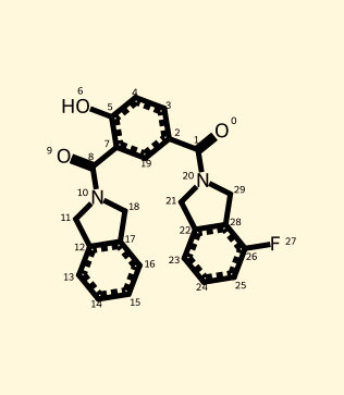 O=C(c1ccc(O)c(C(=O)N2Cc3ccccc3C2)c1)N1Cc2cccc(F)c2C1